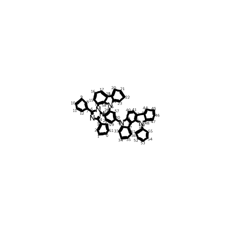 c1ccc(-c2nc(-c3ccccc3)n(-c3cccc4c5ccccc5n(-c5cccc(-n6c7ccccc7c7c6ccc6c8ccccc8n(-c8ccccc8)c67)c5)c34)n2)cc1